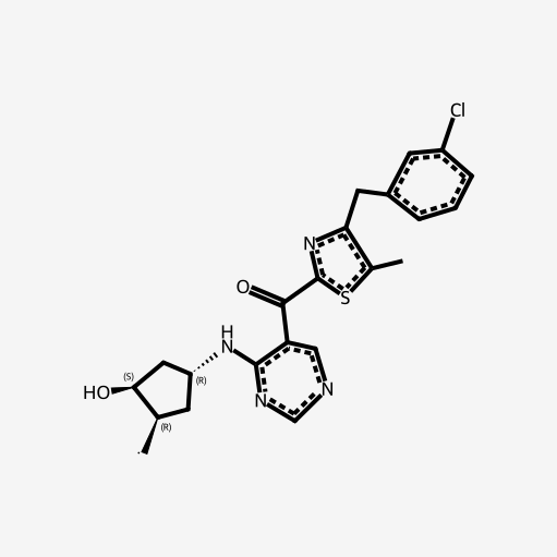 [CH2][C@@H]1C[C@@H](Nc2ncncc2C(=O)c2nc(Cc3cccc(Cl)c3)c(C)s2)C[C@@H]1O